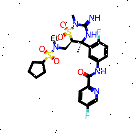 CCN(C[C@@H]1[C@](C)(c2cc(NC(=O)c3ccc(F)cn3)ccc2F)NC(=N)N(C)S1(=O)=O)S(=O)(=O)C1CCCC1